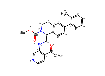 COC(=O)c1ccncc1NC[C@@H]1c2ccc(-c3ccccc3C)cc2CCN1C(=O)OC(C)(C)C